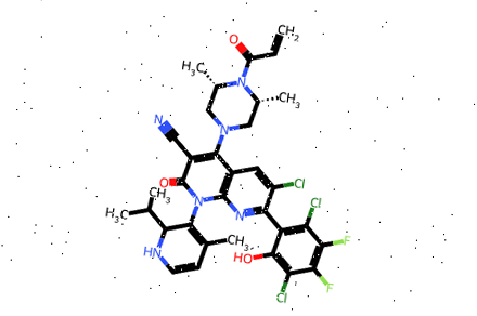 C=CC(=O)N1[C@H](C)CN(c2c(C#N)c(=O)n(C3=C(C)C=CNC3C(C)C)c3nc(-c4c(O)c(Cl)c(F)c(F)c4Cl)c(Cl)cc23)C[C@@H]1C